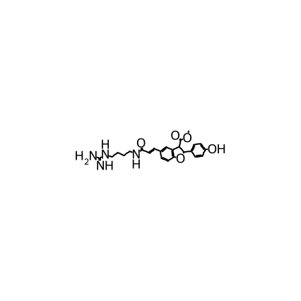 COC(=O)C1c2cc(/C=C/C(=O)NCCCCNC(=N)N)ccc2OC1c1ccc(O)cc1